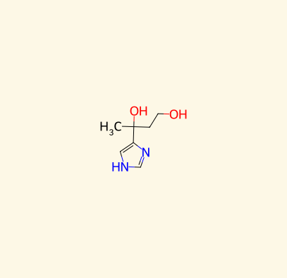 CC(O)(CCO)c1c[nH]cn1